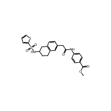 COC(=O)c1ccc(NC(=O)Cc2ccc3c(c2)CCC(NS(=O)(=O)c2cccs2)C3)cc1